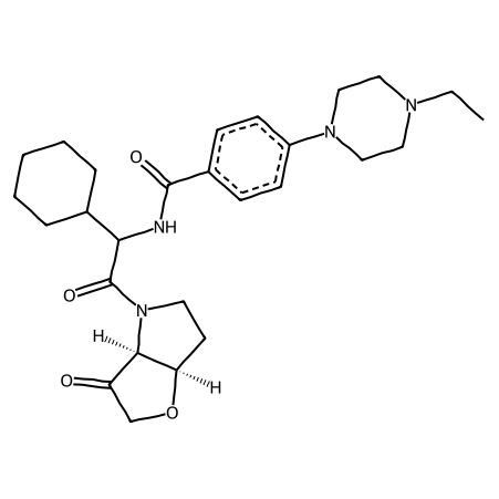 CCN1CCN(c2ccc(C(=O)NC(C(=O)N3CC[C@H]4OCC(=O)[C@H]43)C3CCCCC3)cc2)CC1